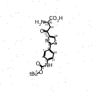 CC(C)(C)OC(=O)Nc1ccc(-c2nc(C(=O)C[C@@H](N)C(=O)O)cs2)cc1